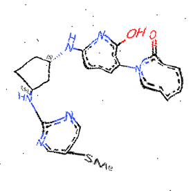 CSc1cnc(N[C@H]2CC[C@H](Nc3ccc(-n4ccccc4=O)c(O)n3)C2)nc1